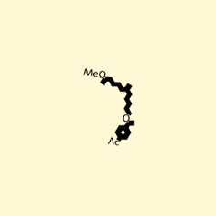 C=C(CCCCCOC(=C)c1ccc(C(C)=O)cc1)CCCCC(=C)OC